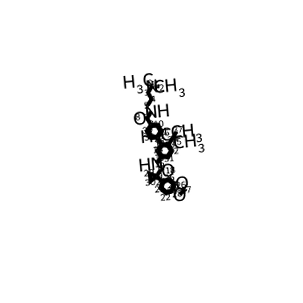 CN(C)CCCNC(=O)c1ccc(-c2cc(NC(=O)C3(c4ccc5c(c4)OCO5)CC3)ccc2C(C)(C)C)cc1